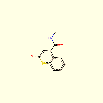 CNC(=O)c1cc(=O)sc2ccc(C)cc12